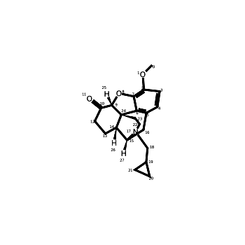 COc1ccc2c3c1O[C@H]1C(=O)CC[C@H]4[C@@H](C2)N(CC2CC2)CC[C@]314